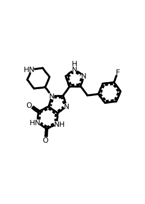 O=c1[nH]c(=O)c2c(nc(-c3c[nH]nc3Cc3cccc(F)c3)n2C2CCNCC2)[nH]1